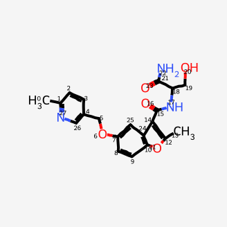 Cc1ccc(COc2ccc3oc(C)c(C(=O)NC(CO)C(N)=O)c3c2)cn1